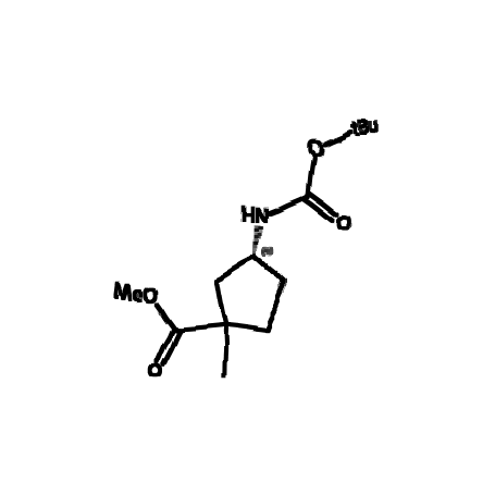 COC(=O)C1(C)CC[C@@H](NC(=O)OC(C)(C)C)C1